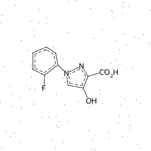 O=C(O)c1nn(-c2ccccc2F)cc1O